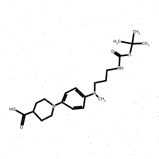 CN(CCCNC(=O)OC(C)(C)C)c1ccc(N2CCC(C(=O)O)CC2)cc1